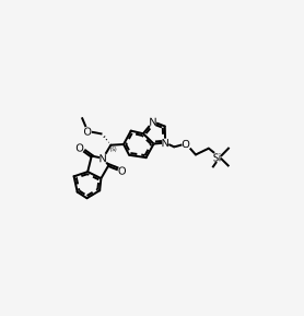 COC[C@H](c1ccc2c(c1)ncn2COCC[Si](C)(C)C)N1C(=O)c2ccccc2C1=O